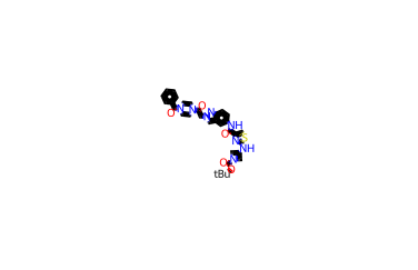 CC(C)(C)OC(=O)N1CC(Nc2nc(C(=O)Nc3ccc4nn(CC(=O)N5CCN(C(=O)c6ccccc6)CC5)cc4c3)cs2)C1